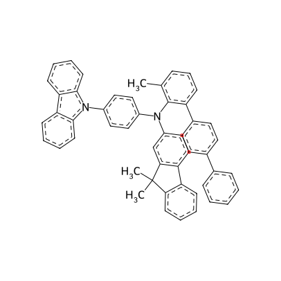 Cc1cccc(-c2ccc(-c3ccccc3)cc2)c1N(c1ccc(-n2c3ccccc3c3ccccc32)cc1)c1ccc2c(c1)C(C)(C)c1ccccc1-2